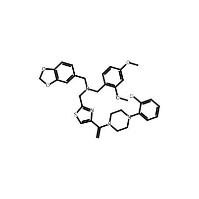 C=C(c1csc(CN(Cc2ccc3c(c2)OCO3)Cc2ccc(OC)cc2OC)n1)N1CCN(c2ccccc2Cl)CC1